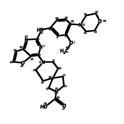 COc1cc(Nc2nc(N3CCC4(CCN(C(=O)O)C4)CC3)c3occc3n2)ccc1N1CCOCC1